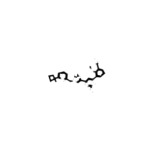 COc1c(C#N)cccc1-c1cc(-c2cn(Cc3cccc(C4(C)CCC4)n3)nn2)nc(N)n1